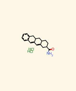 Cl.Cl.NC(=O)C1CCC2CC3Cc4ccccc4C=C3C=C2C1